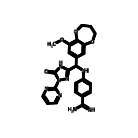 COc1cc(C(Nc2ccc(C(=N)N)cc2)c2nn(-c3ncccn3)c(=O)[nH]2)cc2c1OCCCO2